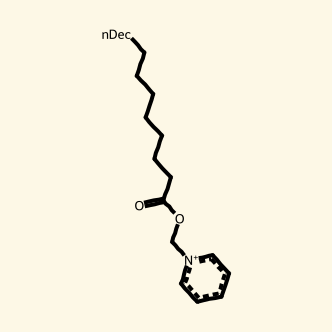 CCCCCCCCCCCCCCCCCC(=O)OC[n+]1ccccc1